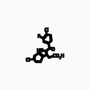 O=C(O)Cc1c(C(=O)c2ccc(Cl)c(F)c2)[nH]c2cc(Cl)ccc12